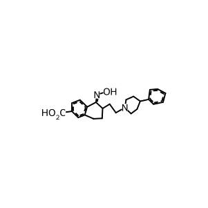 O=C(O)c1ccc2c(c1)CCC(CCN1CCC(c3ccccc3)CC1)C2=NO